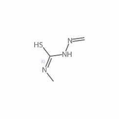 C=NN/C(S)=N\C